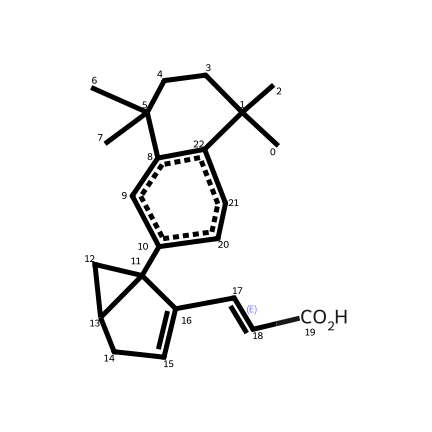 CC1(C)CCC(C)(C)c2cc(C34CC3CC=C4/C=C/C(=O)O)ccc21